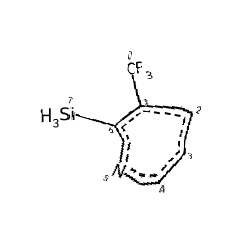 FC(F)(F)c1cccnc1[SiH3]